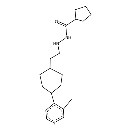 Cc1cnccc1C1CCC(CCNNC(=O)C2CCCC2)CC1